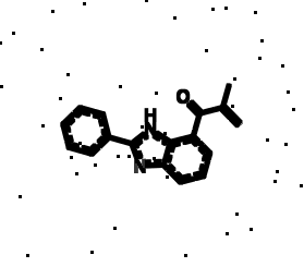 C=C(C)C(=O)c1cccc2nc(-c3ccccc3)[nH]c12